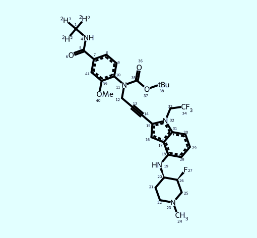 [2H]C([2H])([2H])NC(=O)c1ccc(N(CC#Cc2cc3c(N[C@@H]4CCN(C)C[C@@H]4F)cccc3n2CC(F)(F)F)C(=O)OC(C)(C)C)c(OC)c1